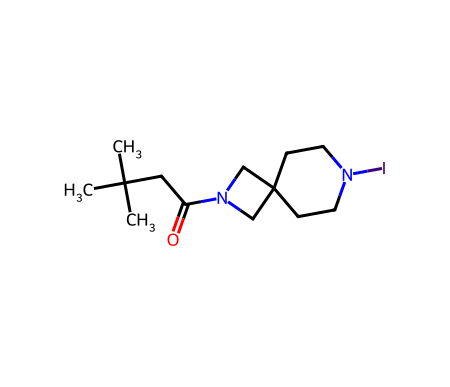 CC(C)(C)CC(=O)N1CC2(CCN(I)CC2)C1